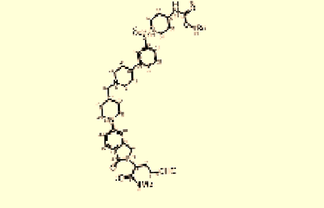 CNC(=O)C(CCC=O)N1Cc2cc(N3CCC(CN4CCC(c5cccc([S+]([O-])N6CCC(NC(=O)OC(C)(C)C)CC6)c5)CC4)CC3)ccc2C1=O